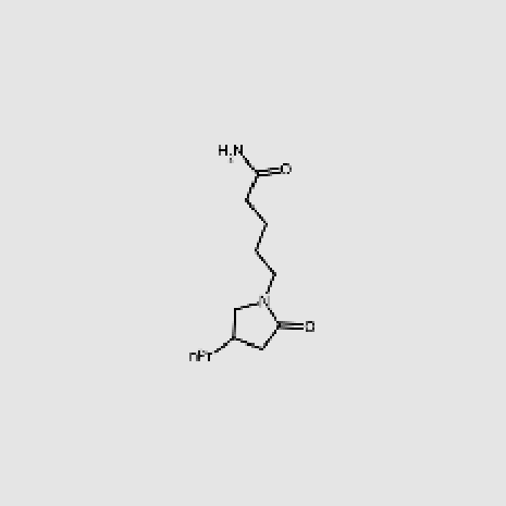 CCCC1CC(=O)N(CCCCC(N)=O)C1